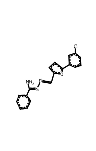 N/C(=N\N=C\c1ccc(-c2cccc(Cl)c2)o1)c1ccccc1